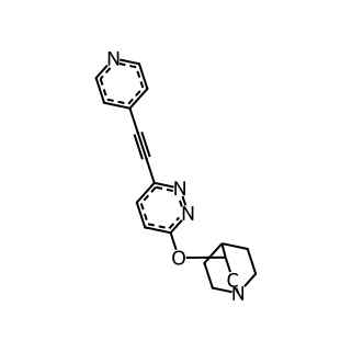 C(#Cc1ccc(OC2CN3CCC2CC3)nn1)c1ccncc1